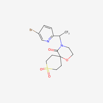 O=C1N(C(c2ccc(Br)cn2)C(F)(F)F)CCOC12CCS(=O)(=O)CC2